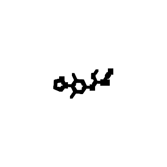 CS/C(=N\c1cc(C)c(-n2cccn2)c(C)c1)NC#N